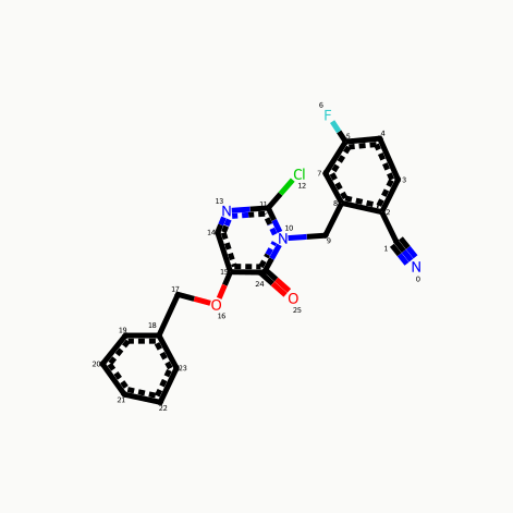 N#Cc1ccc(F)cc1Cn1c(Cl)ncc(OCc2ccccc2)c1=O